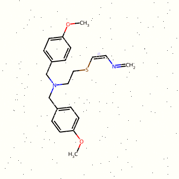 C=N/C=C\SCCN(Cc1ccc(OC)cc1)Cc1ccc(OC)cc1